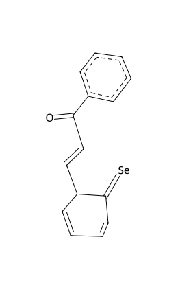 O=C(/C=C/C1C=CC=CC1=[Se])c1ccccc1